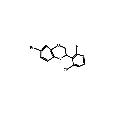 Fc1cccc(Cl)c1C1COc2cc(Br)ccc2N1